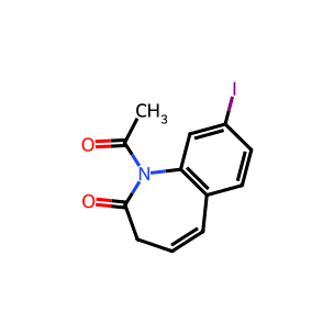 CC(=O)N1C(=O)CC=Cc2ccc(I)cc21